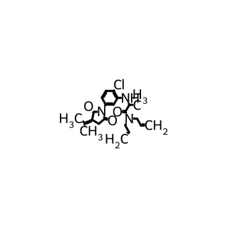 C=CCN(CC=C)C(=O)C(C)Nc1cc(N2C(=O)CC(=C(C)C)C2=O)ccc1Cl